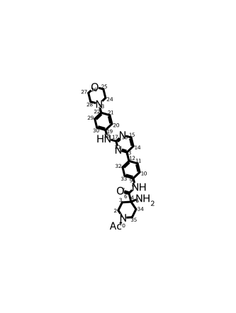 CC(=O)N1CCC(N)(C(=O)Nc2ccc(-c3ccnc(Nc4ccc(N5CCOCC5)cc4)n3)cc2)CC1